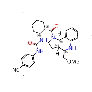 COC[C@@H]1Nc2ccccc2[C@H]2[C@H]1CCN2C(=O)[C@H]1CCCC[C@H]1NC(=O)Nc1ccc(C#N)cc1